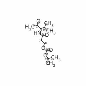 CC(=O)C(NC(=O)CCOC(=O)OC(C)C)C(C)C